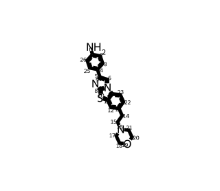 Nc1ccc(-c2cn3c(n2)sc2cc(CCN4CCOCC4)ccc23)cc1